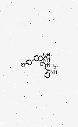 NC(Cc1c[nH]c2ccccc12)C(=O)NC1(C(=O)O)Cc2ccc(-c3ccc(Cl)cc3)cc2C1